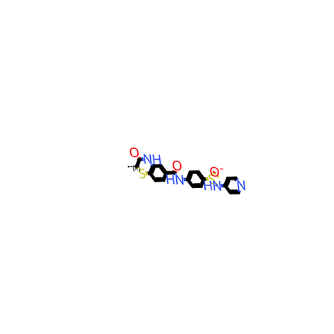 C[C@H]1Sc2ccc(C(=O)Nc3ccc([S+]([O-])Nc4ccncc4)cc3)cc2NC1=O